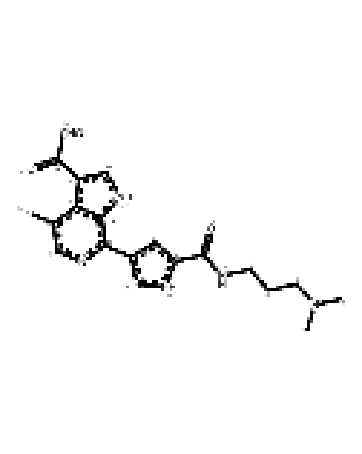 CN(C)CCCNC(=O)c1cc(-c2ncc(F)c3c(C(=O)C=O)c[nH]c23)n[nH]1